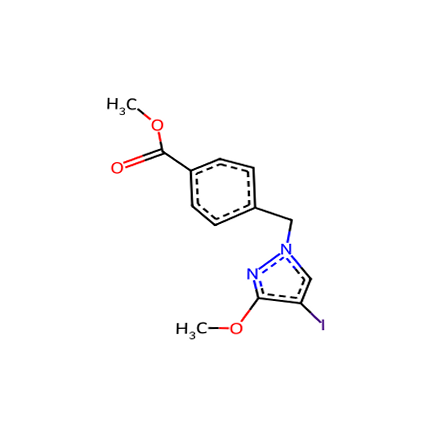 COC(=O)c1ccc(Cn2cc(I)c(OC)n2)cc1